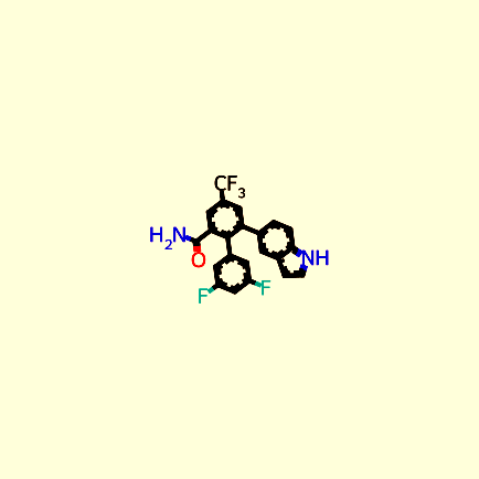 NC(=O)c1cc(C(F)(F)F)cc(-c2ccc3[nH]ccc3c2)c1-c1cc(F)cc(F)c1